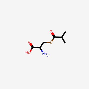 CC(C)C(=O)SCC(N)C(=O)O